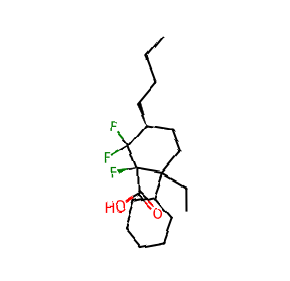 CCCC[C@H]1CCC(CC)(C2CCCCC2)[C@](F)(C(=O)O)C1(F)F